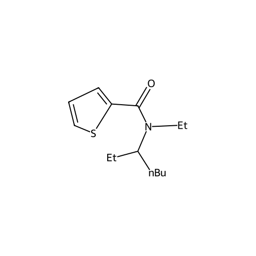 CCCCC(CC)N(CC)C(=O)c1cccs1